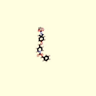 CC(C)(C)OC(=O)N1CC2(CCC(OCC3CCN(C(=O)OCc4ccccc4)CC3)CC2)C1